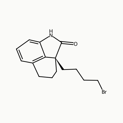 O=C1Nc2cccc3c2[C@@]1(CCCCBr)CCC3